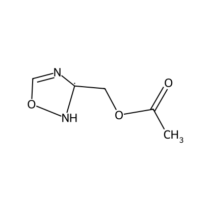 CC(=O)OC[C]1N=CON1